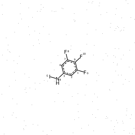 Fc1cc(NI)cc(F)c1F